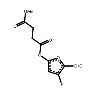 COC(=O)CCC(=O)Oc1cc(F)c(C=O)o1